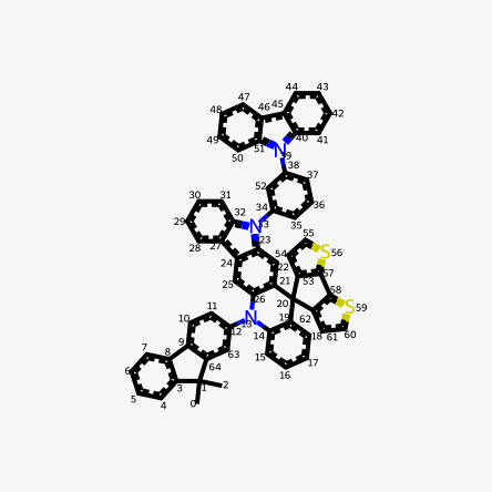 CC1(C)c2ccccc2-c2ccc(N3c4ccccc4C4(c5cc6c(cc53)c3ccccc3n6-c3cccc(-n5c6ccccc6c6ccccc65)c3)c3ccsc3-c3sccc34)cc21